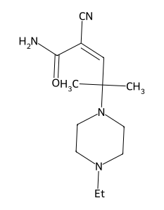 CCN1CCN(C(C)(C)C=C(C#N)C(N)=O)CC1